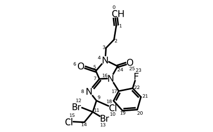 C#CCCN1C(=O)/C(=N/C(Cl)C(Br)(Br)CCl)N(c2ccccc2F)C1=O